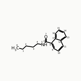 CCCCCNC(=O)c1cccc2ccccc12